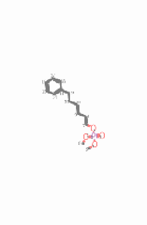 COP(=O)(OC)O/C=C/C=C/CCc1ccccc1